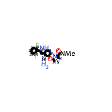 CNC(=O)c1cncc(OC2CCCC(/C=C(\N)c3c(F)cccc3F)=C2N)n1